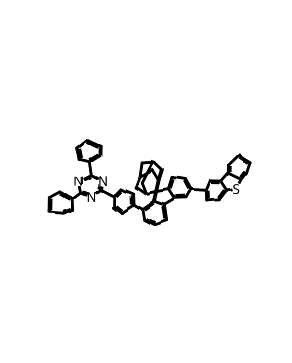 c1ccc(-c2nc(-c3ccccc3)nc(-c3ccc(-c4cccc5c4C4(c6ccc(-c7ccc8sc9ccccc9c8c7)cc6-5)C5CC6CC(C5)CC4C6)cc3)n2)cc1